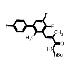 CCCCNC(=O)/C(C)=C/c1c(C)c(-c2ccc(F)cc2)cc(F)c1F